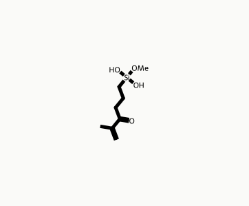 C=C(C)C(=O)CCC[Si](O)(O)OC